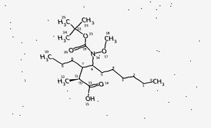 CCCCCCC(C(CCC)[C@H](C)C(=O)O)N(OC)C(=O)OC(C)(C)C